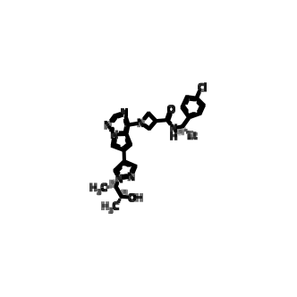 CC[C@H](NC(=O)C1CN(c2ncnn3cc(-c4cnn([C@@H](C)[C@@H](C)O)c4)cc23)C1)c1ccc(Cl)cc1